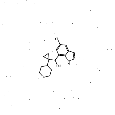 OC(c1cc(Cl)cc2cn[nH]c12)C1(C2CCCCC2)CC1